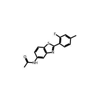 CC(=O)Nc1ccc2sc(-c3ccc(C)cc3F)nc2c1